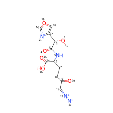 COC(C(=O)NC(CCC(=O)C=[N+]=[N-])C(=O)O)c1cocn1